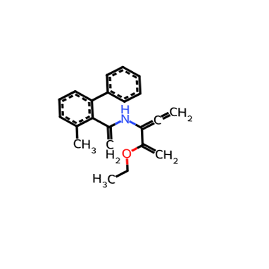 C=C=C(NC(=C)c1c(C)cccc1-c1ccccc1)C(=C)OCC